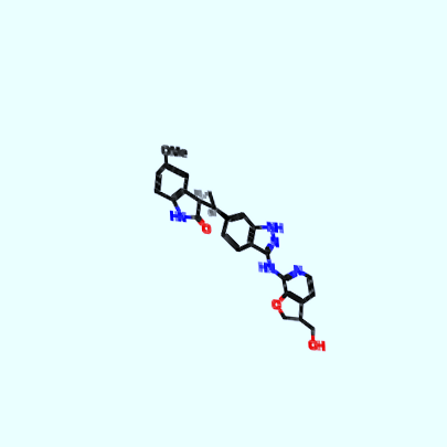 COc1ccc2c(c1)[C@]1(C[C@H]1c1ccc3c(Nc4nccc5c4OCC5CO)n[nH]c3c1)C(=O)N2